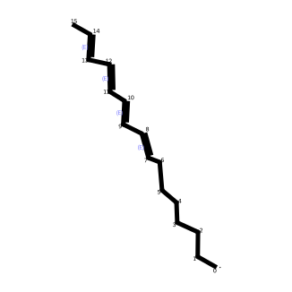 [CH2]CCCCCC/C=C/C=C/C=C/C=C/C